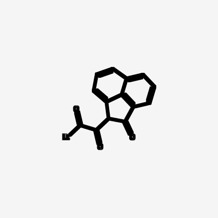 CCC(=O)C(=O)C1C(=O)c2cccc3cccc1c23